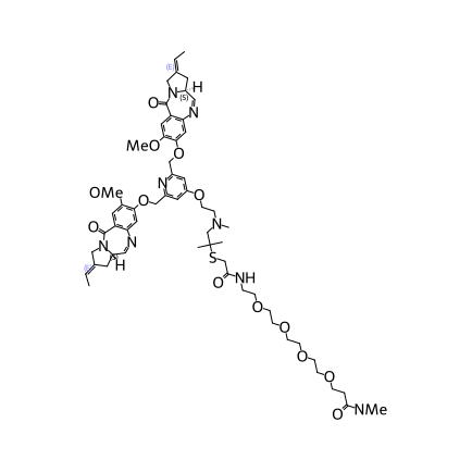 C/C=C1\C[C@H]2C=Nc3cc(OCc4cc(OCCN(C)CC(C)(C)SCC(=O)NCCOCCOCCOCCOCCC(=O)NC)cc(COc5cc6c(cc5OC)C(=O)N5C/C(=C/C)C[C@H]5C=N6)n4)c(OC)cc3C(=O)N2C1